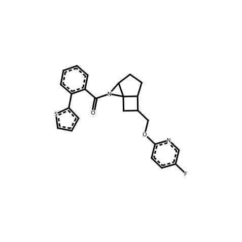 O=C(c1ccccc1-c1cccs1)N1C2CCC3C(COc4ccc(F)cn4)CC321